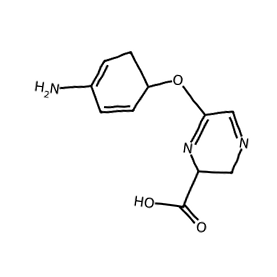 NC1=CCC(OC2=NC(C(=O)O)CN=C2)C=C1